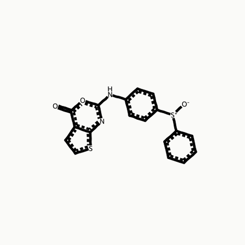 O=c1oc(Nc2ccc([S+]([O-])c3ccccc3)cc2)nc2sccc12